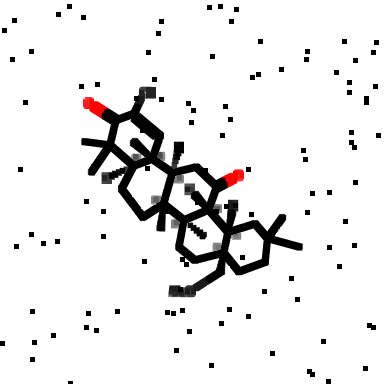 COC[C@]12CCC(C)(C)C[C@H]1[C@H]1C(=O)C[C@@H]3[C@@]4(C)C=C(C#N)C(=O)C(C)(C)[C@@H]4CC[C@@]3(C)[C@]1(C)CC2